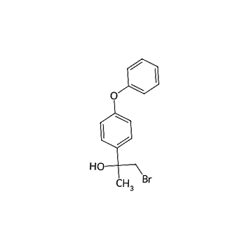 CC(O)(CBr)c1ccc(Oc2ccccc2)cc1